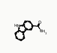 BC(=O)c1ccc2[nH]c3ccccc3c2c1